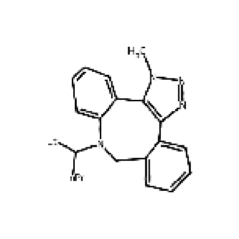 CCCC(CC)N1Cc2ccccc2-c2nnn(C)c2-c2ccccc21